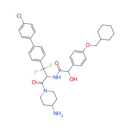 NC1CCN(C(=O)C(NC(=O)C(O)c2ccc(OCC3CCCCC3)cc2)C(F)(F)c2ccc(-c3ccc(Cl)cc3)cc2)CC1